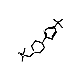 CC(C)(C)c1cnc(N2CCN(CP(C)(C)=O)CC2)nc1